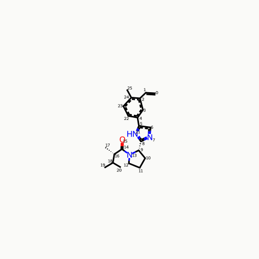 C=Cc1cc(-c2cnc([C@@H]3CCCN3C(=O)[C@@H](C)C(C)C)[nH]2)ccc1C